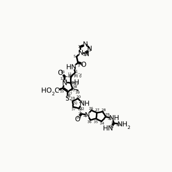 C[C@@H](NC(=O)Cn1cnnn1)[C@H]1C(=O)N2C(C(=O)O)=C(S[C@@H]3CN[C@H](C(=O)N4CC5CC(NC(=N)N)CC5C4)C3)[C@H](C)[C@H]12